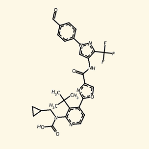 CC(C)(C)c1c(-c2nc(C(=O)Nc3cn(-c4ccc(C=O)cc4)nc3C(F)(F)F)co2)ccnc1N(CC1CC1)C(=O)O